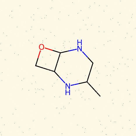 CC1CNC2OCC2N1